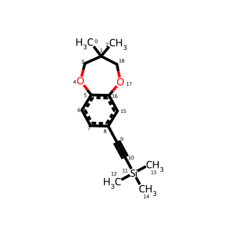 CC1(C)COc2ccc(C#C[Si](C)(C)C)cc2OC1